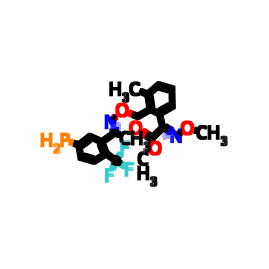 CO/N=C(/C(=O)OC)c1cccc(C)c1CO/N=C(\C)c1cc(P)ccc1C(F)(F)F